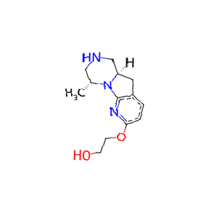 C[C@@H]1CNC[C@H]2Cc3ccc(OCCO)nc3N21